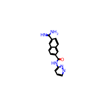 N=C(N)c1ccc2cc(C(=O)Nc3cccnn3)ccc2c1